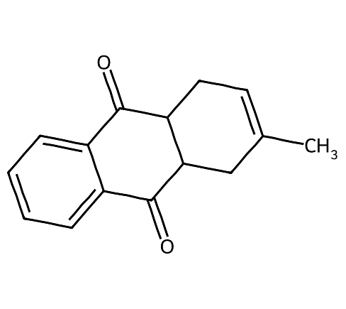 CC1=CCC2C(=O)c3ccccc3C(=O)C2C1